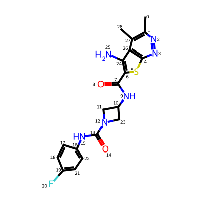 Cc1nnc2sc(C(=O)NC3CN(C(=O)Nc4ccc(F)cc4)C3)c(N)c2c1C